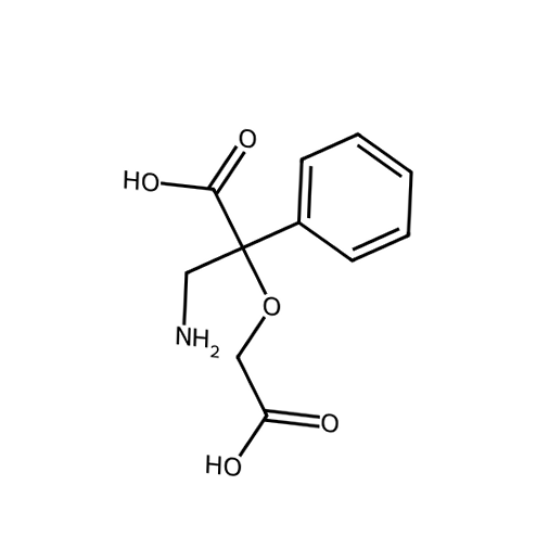 NCC(OCC(=O)O)(C(=O)O)c1ccccc1